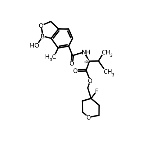 Cc1c(C(=O)N[C@H](C(=O)OCC2(F)CCOCC2)C(C)C)ccc2c1B(O)OC2